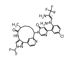 CC1CCCC(n2cnc(-c3cc(Cl)ccc3N(N)/C=C(\N)C(F)(F)F)cc2=O)c2cc(ccn2)-c2nn(C(F)F)cc2NC1=O